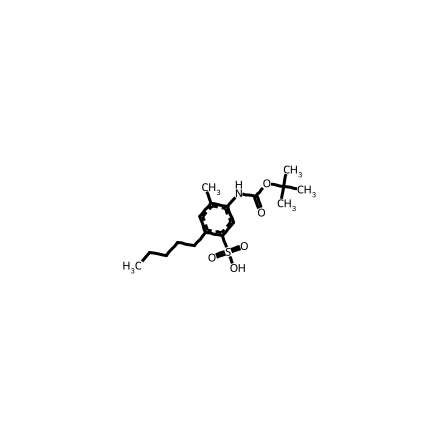 CCCCCc1cc(C)c(NC(=O)OC(C)(C)C)cc1S(=O)(=O)O